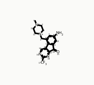 CN1CCN(Cc2cc(N)cc3c2-c2cnc(C(F)(F)F)nc2C3=O)CC1